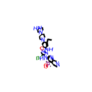 CCc1cc(Nc2ncc(Br)c(Nc3cnc4cnccc4c3P(C)(C)=O)n2)c(OC)cc1N1CCC(N2CCNCC2)CC1